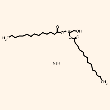 CCCCCCCCCCCCCC(=O)OC[C@H](CO)OC(=O)CCCCCCCCCCCCC.[NaH]